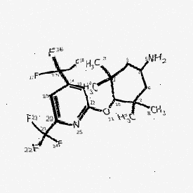 CC1(C)CC(N)CC(C)(C)C1Oc1cc(C(F)(F)F)cc(C(F)(F)F)n1